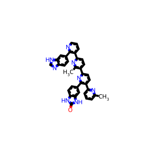 Cc1cccc(-c2ccc(-c3ccc(-c4cccnc4-c4ccc5nc[nH]c5c4)nc3C)nc2-c2ccc3[nH]c(=O)[nH]c3c2)n1